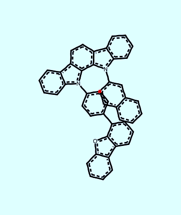 c1ccc2cc(-n3c4ccccc4c4ccc5c6ccccc6n(-c6ccc(-c7cccc8c7oc7ccccc78)cc6)c5c43)ccc2c1